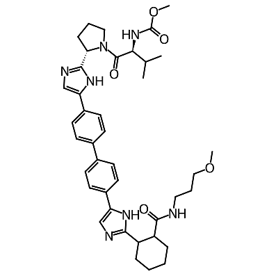 COCCCNC(=O)C1CCCCC1c1ncc(-c2ccc(-c3ccc(-c4cnc([C@@H]5CCCN5C(=O)[C@@H](NC(=O)OC)C(C)C)[nH]4)cc3)cc2)[nH]1